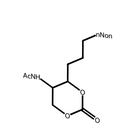 CCCCCCCCCCCCC1OC(=O)OCC1NC(C)=O